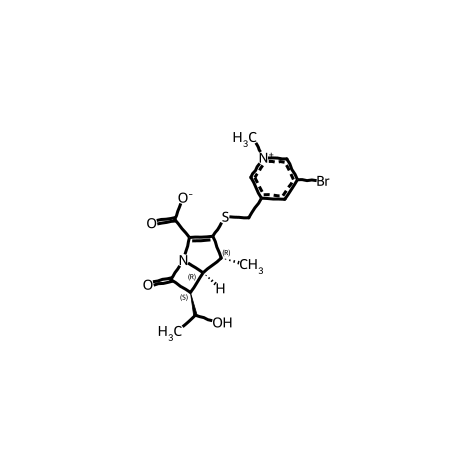 CC(O)[C@H]1C(=O)N2C(C(=O)[O-])=C(SCc3cc(Br)c[n+](C)c3)[C@H](C)[C@@H]12